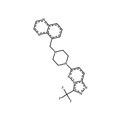 FC(F)(F)c1nnc2ccc(N3CCN(Cc4cccc5nccnc45)CC3)nn12